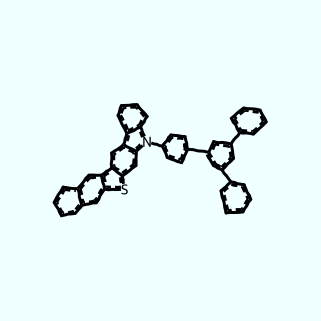 c1ccc(-c2cc(-c3ccccc3)cc(-c3ccc(-n4c5ccccc5c5cc6c(cc54)sc4cc5ccccc5cc46)cc3)c2)cc1